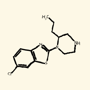 CCCC1CNCCN1c1nc2ccc(Cl)cc2s1